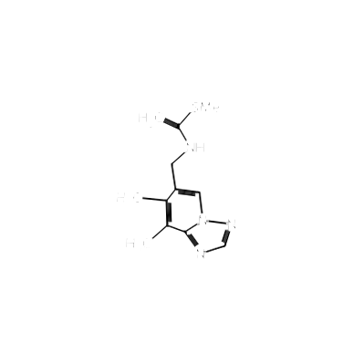 C=C(NCc1cn2ncnc2c(C)c1C)SC